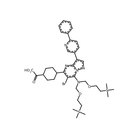 C[Si](C)(C)CCOCN(COCC[Si](C)(C)C)c1c(Br)c(C2CCC(C(=O)C(=O)O)CC2)nc2c(-c3ccc(-c4ccccc4)nc3)cnn12